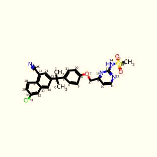 CC(C)(c1ccc(OCc2ccnc(NS(C)(=O)=O)n2)cc1)c1cc(C#N)c2ccc(Cl)cc2c1